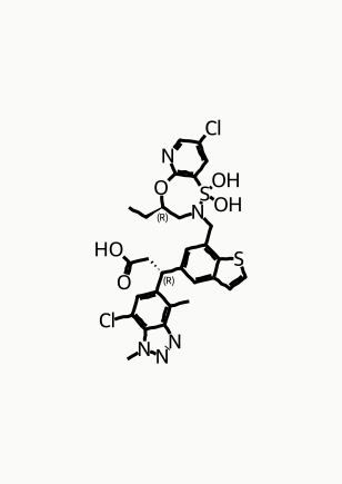 CC[C@@H]1CN(Cc2cc([C@@H](CC(=O)O)c3cc(Cl)c4c(nnn4C)c3C)cc3ccsc23)S(O)(O)c2cc(Cl)cnc2O1